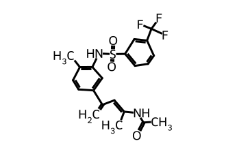 C=C(/C=C(\C)NC(C)=O)c1ccc(C)c(NS(=O)(=O)c2cccc(C(F)(F)F)c2)c1